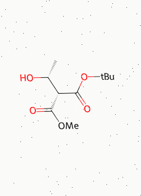 COC(=O)[C@@H](C(=O)OC(C)(C)C)[C@@H](C)O